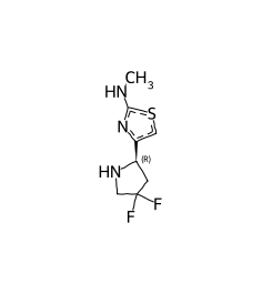 CNc1nc([C@H]2CC(F)(F)CN2)cs1